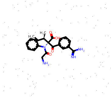 CC[C@@H](C)[C@@](C(=O)O)(C(=O)c1cccc(C(=N)N)c1)N(C(=O)CN)c1ccccc1